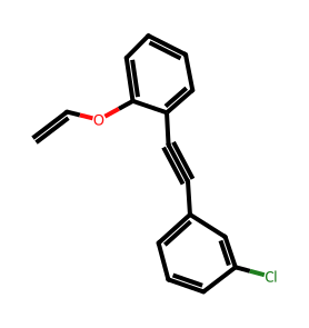 C=COc1ccccc1C#Cc1cccc(Cl)c1